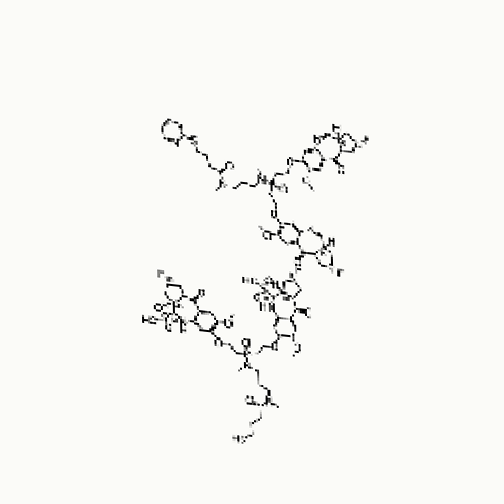 COc1cc2c(cc1OCCP(=O)(CCOc1cc3c(cc1OC)C(=O)C1C[C@@H](F)C[C@H]1C=N3)N(C)CCCN(C)C(=O)CCCSc1ccccn1)N=C[C@@H]1C[C@H](F)CC1C2=O.COc1cc2c(cc1OCCP(=O)(CCOc1cc3c(cc1OC)C(=O)C1C[C@@H](F)C[C@H]1[C@H](S(=O)(=O)O)N3)N(C)CCCN(C)C(=O)CCCS)N[C@@H](S(=O)(=O)O)[C@@H]1C[C@H](F)CC1C2=O